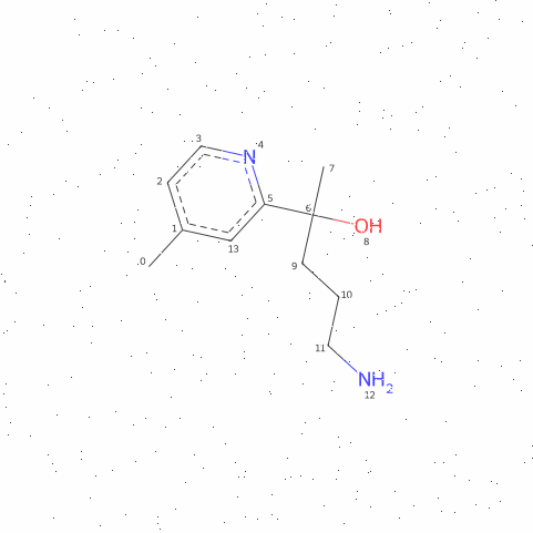 Cc1ccnc(C(C)(O)CCCN)c1